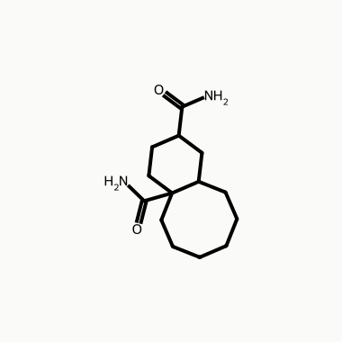 NC(=O)C1CCC2(C(N)=O)CCCCCCC2C1